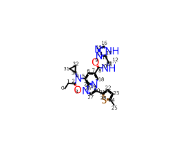 CCC(=O)N(c1cc(C(=O)N[C@@H](C)c2nnc[nH]2)cn2c(-c3ccc(C)s3)cnc12)C1CC1